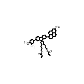 C=CC(=O)OCCCCCC1(CCCCCOC(=O)C=C)c2cc(-c3ccc(OCC)c(C(F)(F)F)c3)ccc2-c2ccc(-c3ccc4ccc5cc(C(C)(C)C)cc6ccc3c4c56)cc21